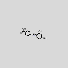 Cc1cc(N)ccc1/N=N/c1ccc(C(=O)O)cc1